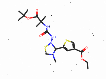 CCOC(=O)c1csc(C2N(C)CSN2NC(=O)NC(C)(C)C(=O)OC(C)(C)C)c1